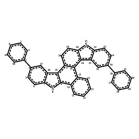 c1ccc(-c2ccc3sc4c5ccccc5c5c(ccc6sc7ccc(-c8ccccc8)cc7c65)c4c3c2)cc1